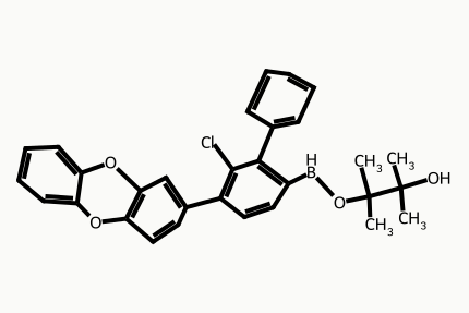 CC(C)(O)C(C)(C)OBc1ccc(-c2ccc3c(c2)Oc2ccccc2O3)c(Cl)c1-c1ccccc1